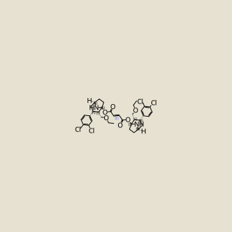 CCOC[C@@H]1[C@H](c2ccc(Cl)c(Cl)c2)C[C@H]2CC[C@@]1(OC(=O)/C=C/C(=O)O[C@@]13CC[C@H](C[C@@H](c4ccc(Cl)c(Cl)c4)[C@H]1COCC)N3)N2